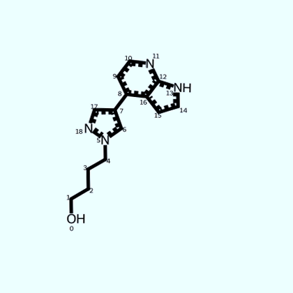 OCCCCn1cc(-c2ccnc3[nH]ccc23)cn1